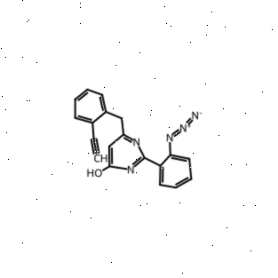 C#Cc1ccccc1Cc1cc(O)nc(-c2ccccc2N=[N+]=[N-])n1